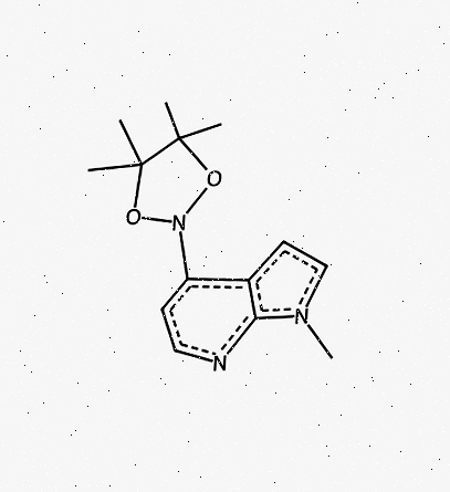 Cn1ccc2c(N3OC(C)(C)C(C)(C)O3)ccnc21